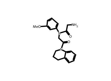 COc1cccc(N(CC(=O)N2CCCc3ccccc32)C(=O)CN)c1